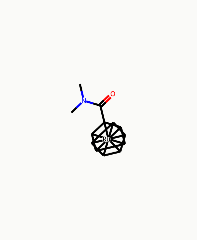 CN(C)C(=O)[C]12[CH]3[CH]4[CH]5[CH]1[Ru]45321678[CH]2[CH]1[CH]6[CH]7[CH]28